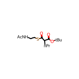 CCCC(C(=O)OC(C)(C)C)C(=O)SCCNC(C)=O